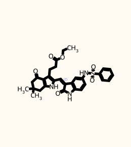 CCOC(=O)CCc1c(/C=C2\C(=O)Nc3ccc(NS(=O)(=O)c4ccccc4)cc32)[nH]c2c1C(=O)CC(C)(C)C2